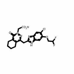 O=C(O)Cn1nc(Cc2nc3cc(Cl)c(OCC(F)F)cc3[nH]2)c2c(c1=O)CCCC2